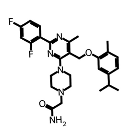 Cc1ccc(C(C)C)cc1OCc1c(C)nc(-c2ccc(F)cc2F)nc1N1CCN(CC(N)=O)CC1